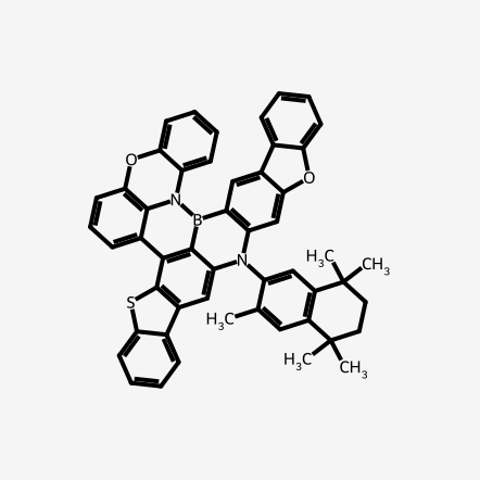 Cc1cc2c(cc1N1c3cc4oc5ccccc5c4cc3B3c4c1cc1c(sc5ccccc51)c4-c1cccc4c1N3c1ccccc1O4)C(C)(C)CCC2(C)C